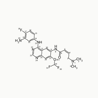 CN(C)C/C=C\C(=O)Nc1cc2c(Nc3ccc(F)c(N)c3)ncnc2cc1OC(F)F